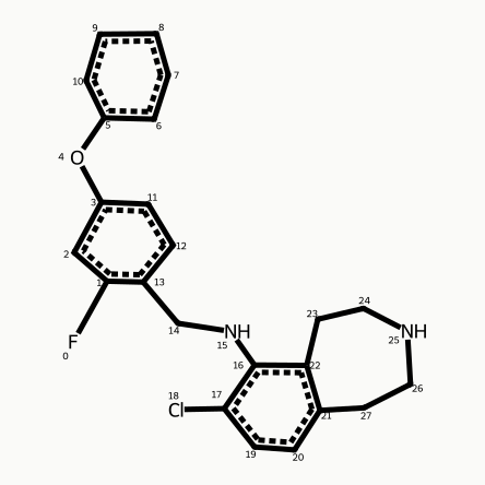 Fc1cc(Oc2ccccc2)ccc1CNc1c(Cl)ccc2c1CCNCC2